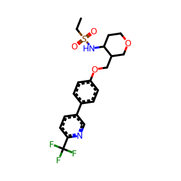 CCS(=O)(=O)NC1CCOCC1COc1ccc(-c2ccc(C(F)(F)F)nc2)cc1